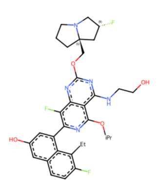 CCc1c(F)ccc2cc(O)cc(-c3nc(OC(C)C)c4c(NCCO)nc(OC[C@@]56CCCN5C[C@H](F)C6)nc4c3F)c12